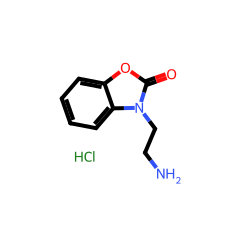 Cl.NCCn1c(=O)oc2ccccc21